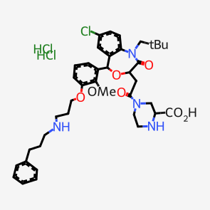 COc1c(OCCCNCCCc2ccccc2)cccc1C1OC(CC(=O)N2CCNC(C(=O)O)C2)C(=O)N(CC(C)(C)C)c2ccc(Cl)cc21.Cl.Cl